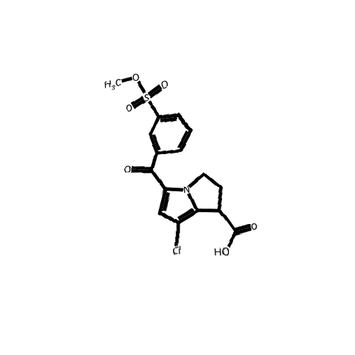 COS(=O)(=O)c1cccc(C(=O)c2cc(Cl)c3n2CCC3C(=O)O)c1